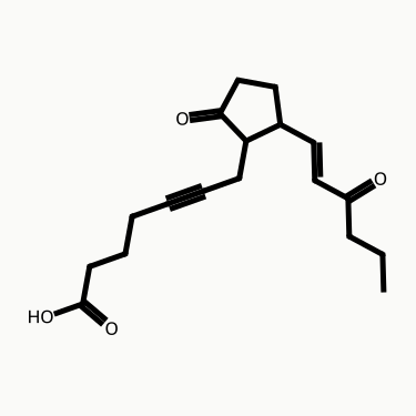 CCCC(=O)C=CC1CCC(=O)C1CC#CCCCC(=O)O